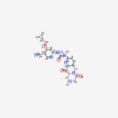 CN1CCN(Cc2ccc(N(C)C(=O)Nc3cc(OCC4CC4)c(C#N)cn3)nc2C=O)C(=O)C1